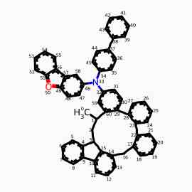 CC1CC2c3ccccc3-c3cccc(c32)Cc2ccccc2-c2ccccc2-c2ccc(N(c3ccc(-c4ccccc4)cc3)c3ccc4oc5ccccc5c4c3)cc21